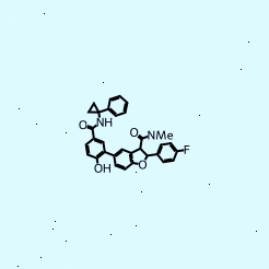 CNC(=O)C1c2cc(-c3cc(C(=O)NC4(c5ccccc5)CC4)ccc3O)ccc2OC1c1ccc(F)cc1